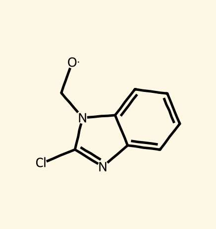 [O]Cn1c(Cl)nc2ccccc21